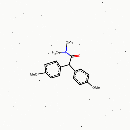 COc1ccc(C(C(=O)N(C)OC)c2ccc(OC)cc2)cc1